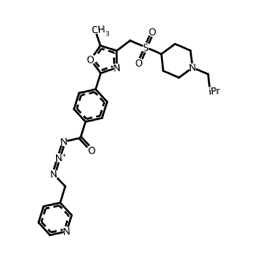 Cc1oc(-c2ccc(C(=O)N=[N+]=NCc3cccnc3)cc2)nc1CS(=O)(=O)C1CCN(CC(C)C)CC1